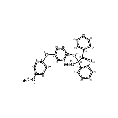 CCCOc1ccc(Oc2ccc(OC(OC)(C(=O)c3ccccc3)c3ccccc3)cc2)cc1